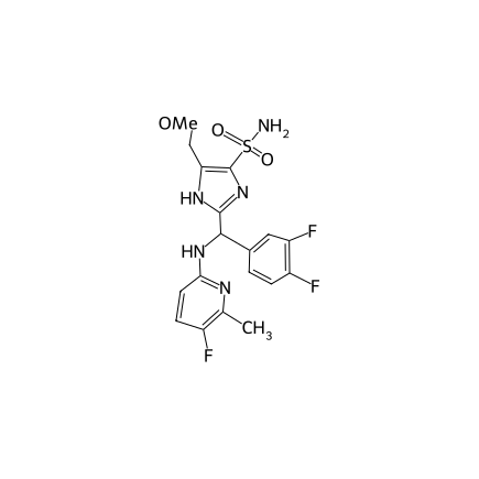 COCc1[nH]c(C(Nc2ccc(F)c(C)n2)c2ccc(F)c(F)c2)nc1S(N)(=O)=O